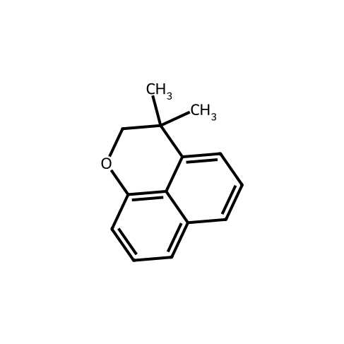 CC1(C)COc2cccc3cccc1c23